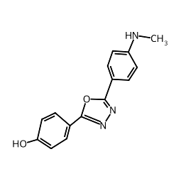 CNc1ccc(-c2nnc(-c3ccc(O)cc3)o2)cc1